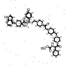 CC(C)(C)OC(=O)N[C@@H](C(=O)N1CCN(CC2CCN(CC(=O)N3CCN(CC[C@H](NC(=O)C4(N)CCN(c5ncnc6[nH]ccc56)CC4)c4ccc(Cl)cc4)CC3)CC2)CC1)C1CCCCC1